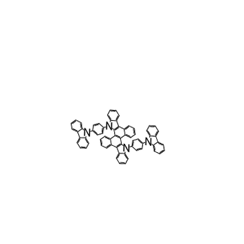 c1ccc2c(c1)c1c3ccccc3n(-c3ccc(-n4c5ccccc5c5ccccc54)cc3)c1c1c3ccccc3c3c4ccccc4n(-c4ccc(-n5c6ccccc6c6ccccc65)cc4)c3c21